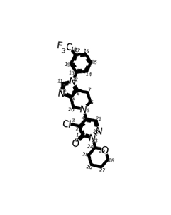 O=c1c(Cl)c(N2CCc3c(ncn3-c3cccc(C(F)(F)F)c3)C2)cnn1C1CCCCO1